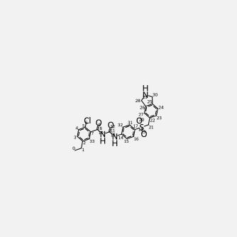 CCc1ccc(Cl)c(C(=O)NC(=O)Nc2ccc(S(=O)(=O)Cc3ccc4c(c3)CNC4)cc2)c1